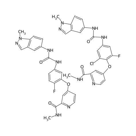 CNC(=O)c1cc(Oc2c(F)cc(NC(=O)Nc3ccc4c(cnn4C)c3)cc2Cl)ccn1.CNC(=O)c1cc(Oc2cc(NC(=O)Nc3ccc4c(cnn4C)c3)ccc2F)ccn1